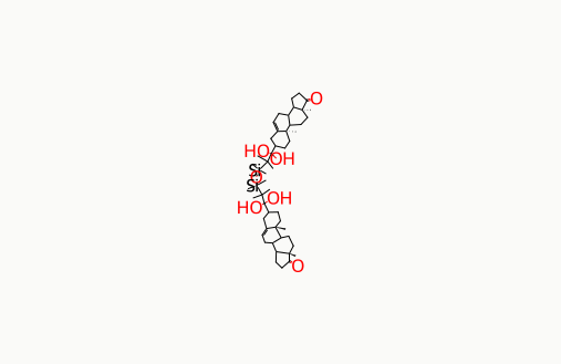 CC(C)(C(O)(O)C1CC[C@@]2(C)C(=CCC3C2CC[C@]2(C)C(=O)CCC32)C1)[Si](C)(C)O[Si](C)(C)C(C)(C)C(O)(O)C1CC[C@@]2(C)C(=CCC3C2CC[C@]2(C)C(=O)CCC32)C1